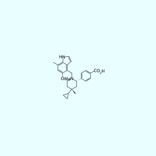 COc1cc(C)c2[nH]ccc2c1CN1CC[C@@](C)(C2CC2)C[C@H]1c1ccc(C(=O)O)cc1